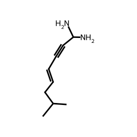 CC(C)CC=CC#CC(N)N